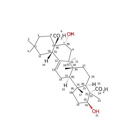 CC1(C)CC[C@]2(C(=O)O)[C@H](O)C[C@]3(C)C(=CC[C@@H]4[C@@]5(C)CC[C@H](O)[C@@](C)(C(=O)O)[C@@H]5CC[C@]43C)[C@@H]2C1